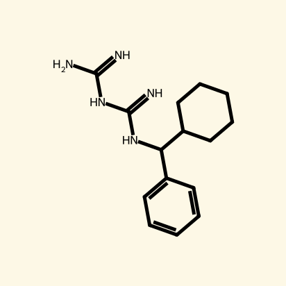 N=C(N)NC(=N)NC(c1ccccc1)C1CCCCC1